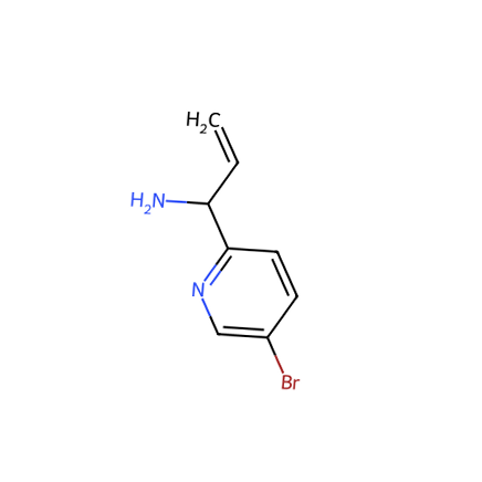 C=CC(N)c1ccc(Br)cn1